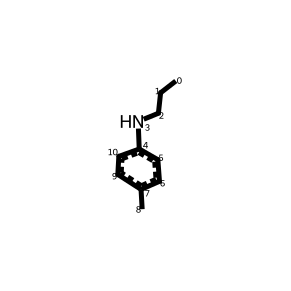 CCCNc1ccc(C)cc1